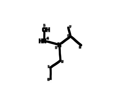 CCCN(NO)C(C)C